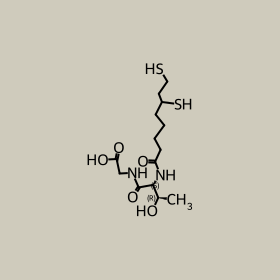 C[C@@H](O)[C@H](NC(=O)CCCCC(S)CCS)C(=O)NCC(=O)O